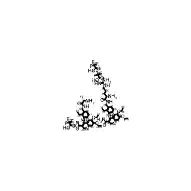 CCOc1cc2ncc(C(N)=O)c(Nc3cccc(CNC(=O)[C@@H](N)CCCNC(=N)N)c3CC)c2cc1OCC.CCOc1cc2ncc(C(N)=O)c(Nc3cccc(CNC(=O)[C@H](C)N)c3CC)c2cc1OCC.O=C(O)C(F)(F)F.O=C(O)C(F)(F)F.O=C(O)C(F)(F)F